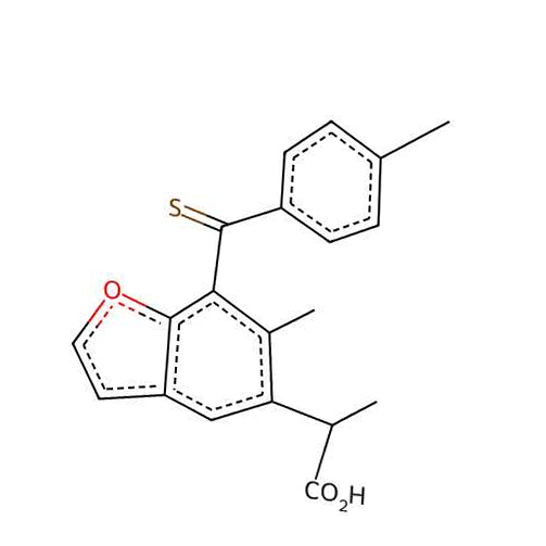 Cc1ccc(C(=S)c2c(C)c(C(C)C(=O)O)cc3ccoc23)cc1